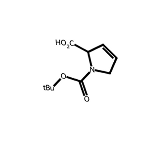 CC(C)(C)OC(=O)N1CC=CC1C(=O)O